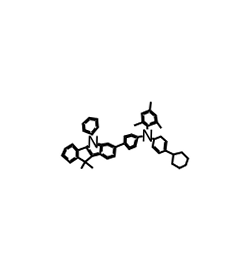 Cc1cc(C)c(N(c2ccc(-c3ccc4c5c(n(-c6ccccc6)c4c3)-c3ccccc3C5(C)C)cc2)C2C=CC(C3CCCCC3)=CC2)c(C)c1